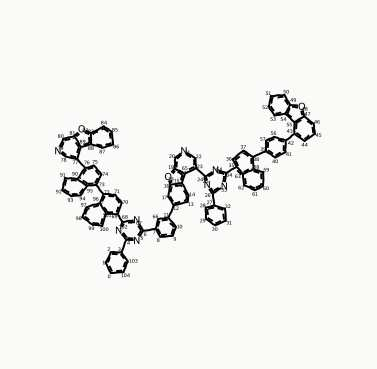 c1ccc(-c2nc(-c3cccc(-c4ccc5c(c4)oc4cncc(-c6nc(-c7ccccc7)nc(-c7ccc(-c8ccc(-c9cccc%10oc%11ccccc%11c9%10)cc8)c8ccccc78)n6)c45)c3)nc(-c3ccc(-c4ccc(-c5cncc6oc7ccccc7c56)c5ccccc45)c4ccccc34)n2)cc1